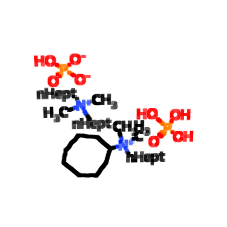 CCCCCCC[N+](C)(C)C1CCCCCCC1.CCCCCCC[N+](C)(C)CCCCCCC.O=P(O)(O)O.O=P([O-])([O-])O